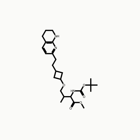 COC(=O)C(NC(=O)OC(C)(C)C)C(C)COC1CC(CCc2ccc3c(n2)NCCC3)C1